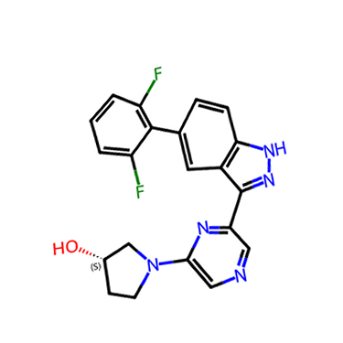 O[C@H]1CCN(c2cncc(-c3n[nH]c4ccc(-c5c(F)cccc5F)cc34)n2)C1